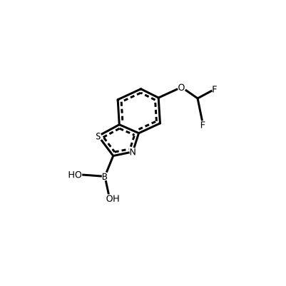 OB(O)c1nc2cc(OC(F)F)ccc2s1